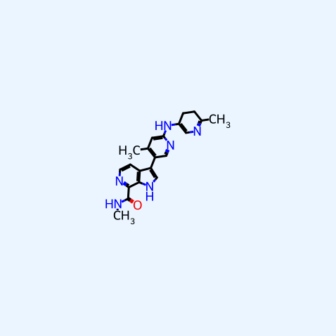 CNC(=O)c1nccc2c(-c3cnc(NC4=CN=C(C)CC4)cc3C)c[nH]c12